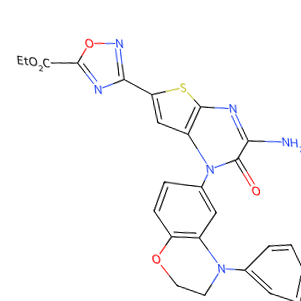 CCOC(=O)c1nc(-c2cc3c(nc(N)c(=O)n3-c3ccc4c(c3)N(c3ccccc3)CCO4)s2)no1